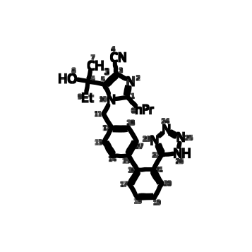 CCCc1nc(C#N)c(C(C)(O)CC)n1Cc1ccc(-c2ccccc2-c2nnn[nH]2)cc1